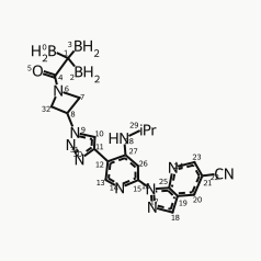 BC(B)(B)C(=O)N1CC(n2cc(-c3cnc(-n4ncc5cc(C#N)cnc54)cc3NC(C)C)nn2)C1